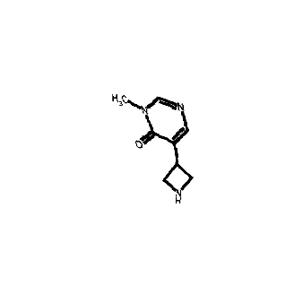 Cn1cncc(C2CNC2)c1=O